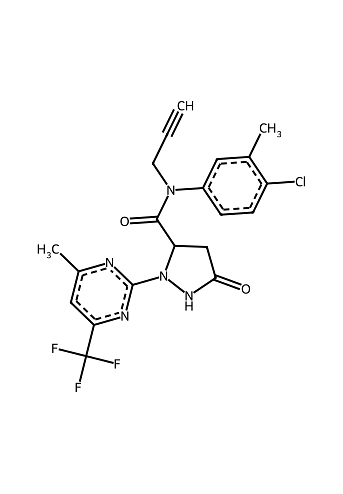 C#CCN(C(=O)C1CC(=O)NN1c1nc(C)cc(C(F)(F)F)n1)c1ccc(Cl)c(C)c1